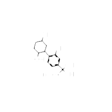 CCCCCCC(C)(C)c1ccc(C2CC(O)CCC2O)c(O)c1